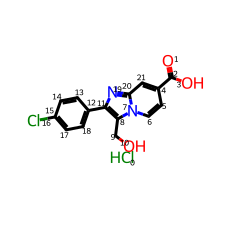 Cl.O=C(O)c1ccn2c(CO)c(-c3ccc(Cl)cc3)nc2c1